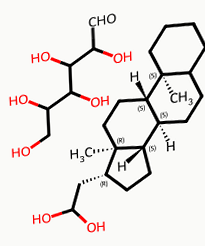 C[C@]12CC[C@H]3[C@@H](CCC4CCCC[C@@]43C)[C@@H]1CC[C@@H]2CC(O)O.O=CC(O)C(O)C(O)C(O)CO